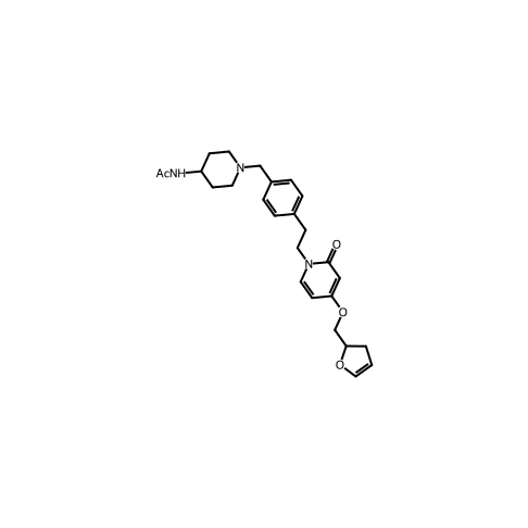 CC(=O)NC1CCN(Cc2ccc(CCn3ccc(OCC4CC=CO4)cc3=O)cc2)CC1